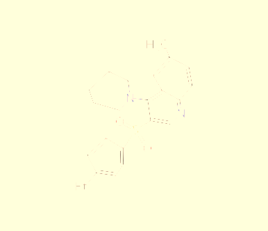 CCc1ccc(S(=O)(=O)c2cnc3ccc(C)cc3c2N2CCCCC2)cc1